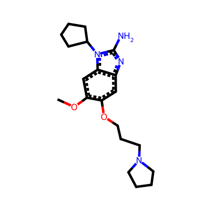 COc1cc2c(cc1OCCCN1CCCC1)nc(N)n2C1CCCC1